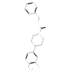 CSc1ccc(C2CCN(C(=O)OCc3ccccc3)CC2)cc1F